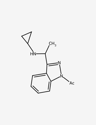 CC(=O)n1nc(C(C)NC2CC2)c2ccccc21